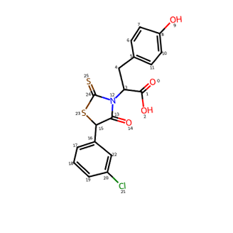 O=C(O)C(Cc1ccc(O)cc1)N1C(=O)C(c2cccc(Cl)c2)SC1=S